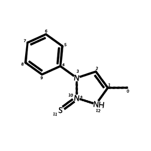 Cc1cn(-c2ccccc2)[n+](=S)[nH]1